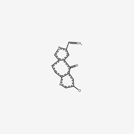 C=Cc1cc2c(=O)c3cc(Cl)cnc3ccc2cn1